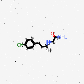 [2H]C(CCc1ccc(Cl)cc1)NCC(N)=O